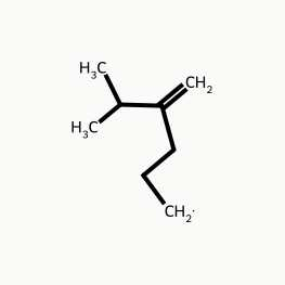 [CH2]CCC(=C)C(C)C